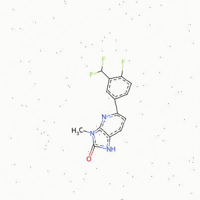 Cn1c(=O)[nH]c2ccc(-c3ccc(F)c(C(F)F)c3)nc21